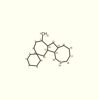 CC1CCC2(CCCCC2)CC2C1CC1CCCCSCC12